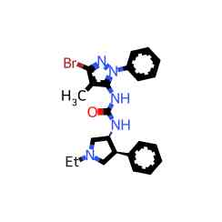 CCN1C[C@H](NC(=O)Nc2c(C)c(Br)nn2-c2ccccc2)[C@@H](c2ccccc2)C1